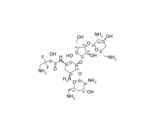 NC[C@@H]1C[C@@H](O)[C@@H](N)[C@@H](O[C@H]2[C@H](O[C@@H]3O[C@H](CO)[C@@H](O[C@H]4O[C@@H](CN)C[C@H](O)[C@H]4N)[C@H]3O)[C@@H](O)[C@H](NC(=O)[C@@H](O)C(F)(F)CN)C[C@@H]2N)O1